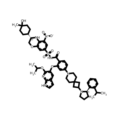 CC(C)Oc1nc2[nH]ccc2cc1Oc1cc(N2CCC3(CC2)CC(N2CCC[C@@H]2c2ccccc2C(C)C)C3)ccc1C(=O)NS(=O)(=O)c1cc2c(c([N+](=O)[O-])c1)N[C@@H](C1CCC(C)(O)CC1)CO2